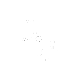 COCCCOc1cc(C[C@@H](C[C@H](N)[C@@H]2C[C@@H](C(C)C)C(=O)O2)C(C)C)ccc1OC